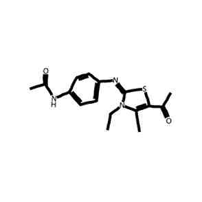 CCn1c(C)c(C(C)=O)sc1=Nc1ccc(NC(C)=O)cc1